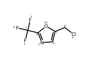 FC(F)(F)c1ncc(CCl)o1